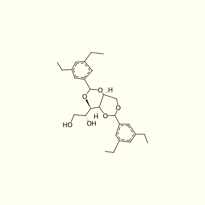 CCc1cc(CC)cc(C2OC[C@@H]3OC(c4cc(CC)cc(CC)c4)O[C@H]([C@H](O)CO)[C@@H]3O2)c1